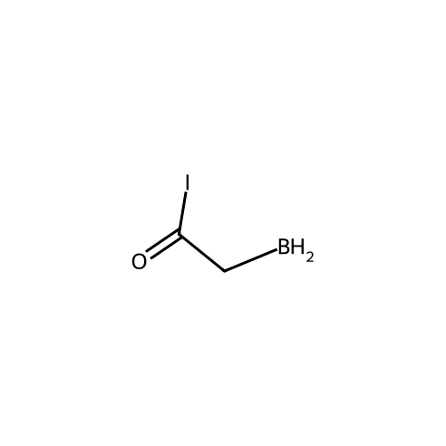 BCC(=O)I